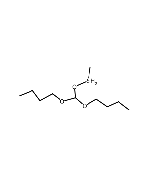 CCCCOC(OCCCC)O[SiH2]C